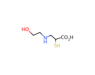 O=C(O)C(S)CNCCO